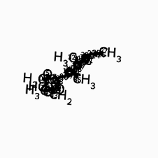 C=C(CO)C(=O)OCC(CCc1ccc(-c2ccc(-c3ccc(CCCCC)cc3)c(CC)c2)c(CC)c1)COC(=O)C(=C)COC